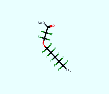 COC(=O)C(F)(F)C(F)(F)OC(F)(F)C(F)(F)C(F)(F)C(F)(F)C(F)(F)C(F)(F)F